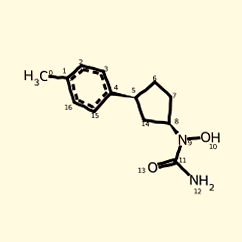 Cc1ccc([C@H]2CC[C@@H](N(O)C(N)=O)C2)cc1